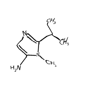 CC(C)c1ncc(N)n1C